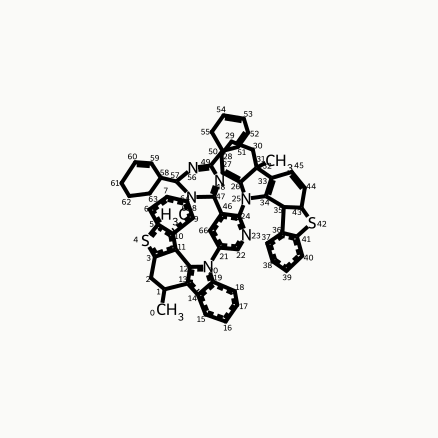 CC1Cc2sc3ccccc3c2-c2c1c1ccccc1n2-c1cnc(N2C3=CCCCC3(C)C3=C2C2c4ccccc4SC2C=C3)c(C2=NC(C3C=CC=CC3)=NC(C3C=CCCC3)N2C)c1